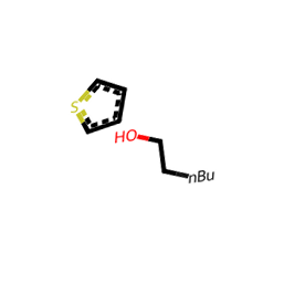 CCCCCCO.c1ccsc1